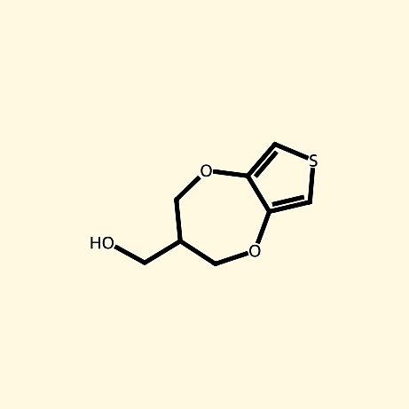 OCC1COc2cscc2OC1